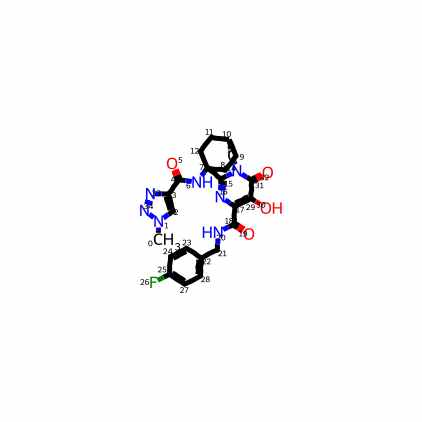 Cn1cc(C(=O)NC23CCC(CC2)Cn2c3nc(C(=O)NCc3ccc(F)cc3)c(O)c2=O)nn1